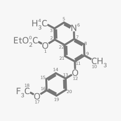 CCOC(=O)Oc1c(C)cnc2cc(C)c(Oc3ccc(OC(F)(F)F)cc3)cc12